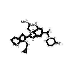 COCCn1c(-c2cc3cccnc3n2CC2CC2)nc2cc(C(=O)N3CCCC(N)C3)cc(OC)c21